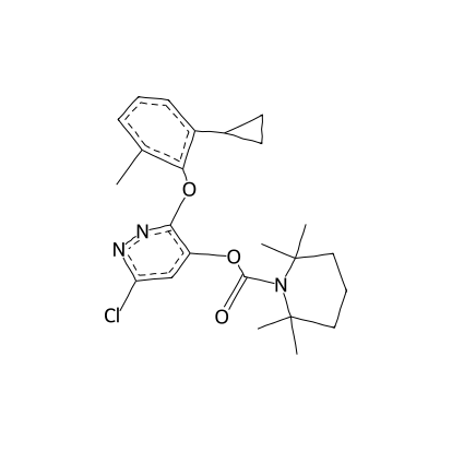 Cc1cccc(C2CC2)c1Oc1nnc(Cl)cc1OC(=O)N1C(C)(C)CCCC1(C)C